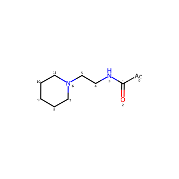 CC(=O)C(=O)NCCN1CCCCC1